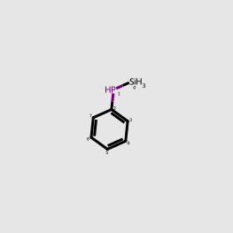 [SiH3]Pc1ccccc1